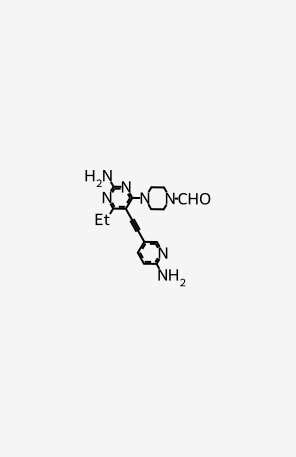 CCc1nc(N)nc(N2CCN(C=O)CC2)c1C#Cc1ccc(N)nc1